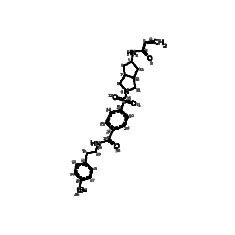 C=CC(=O)NC1CC2CN(S(=O)(=O)c3ccc(C(=O)NCCc4ccc(C(C)(C)C)cc4)cc3)CC2C1